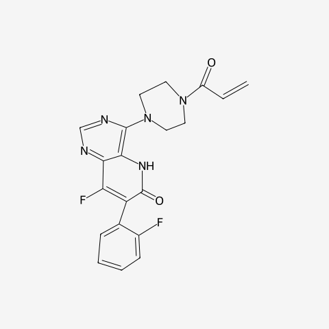 C=CC(=O)N1CCN(c2ncnc3c(F)c(-c4ccccc4F)c(=O)[nH]c23)CC1